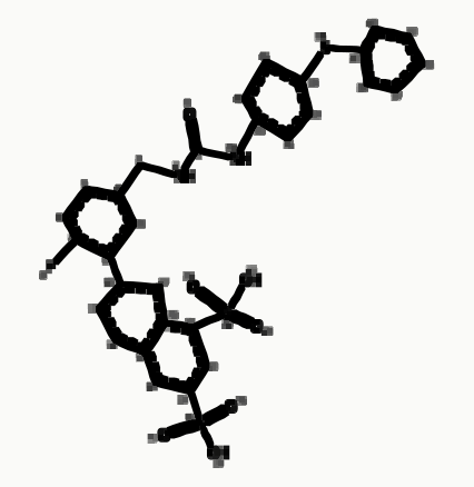 O=C(NCc1ccc(F)c(-c2ccc3cc(S(=O)(=O)O)cc(S(=O)(=O)O)c3c2)c1)Nc1ccc(Sc2ccccc2)cc1